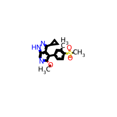 COc1ncc2[nH]nc(C3CC3)c2c1-c1ccc(S(C)(=O)=O)c(C)c1